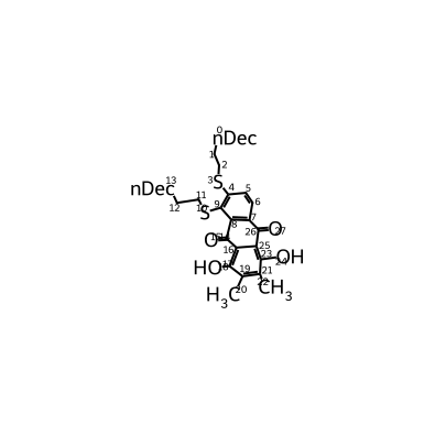 CCCCCCCCCCCCSc1ccc2c(c1SCCCCCCCCCCCC)C(=O)c1c(O)c(C)c(C)c(O)c1C2=O